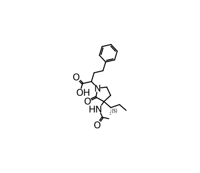 CC[C@H](C)C1(NC(C)=O)CCN(C(CCc2ccccc2)C(=O)O)C1=O